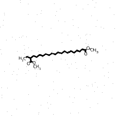 CCC(CCCCCCCCCCCCCCCCCC(=O)OC)C(=O)OC